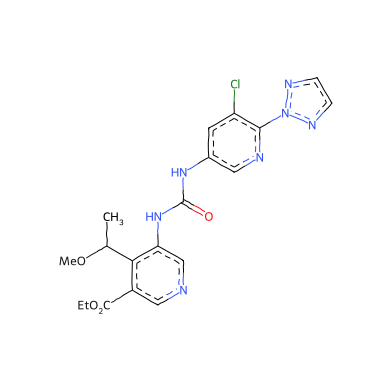 CCOC(=O)c1cncc(NC(=O)Nc2cnc(-n3nccn3)c(Cl)c2)c1C(C)OC